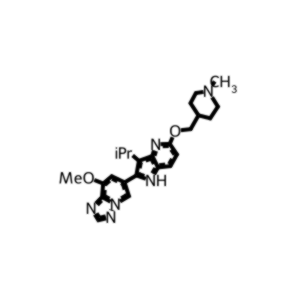 COc1cc(-c2[nH]c3ccc(OCC4CCN(C)CC4)nc3c2C(C)C)cn2ncnc12